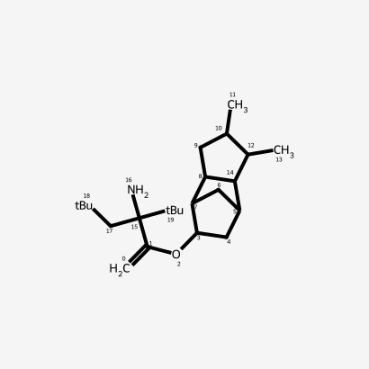 C=C(OC1CC2CC1C1CC(C)C(C)C21)C(N)(CC(C)(C)C)C(C)(C)C